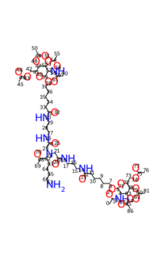 CC(=O)NC1C(OCCCCCC(=O)NCCCNC(=O)CN(CC(=O)NCCCNC(=O)CCCCCOC2OC(COC(C)=O)C(OC(C)=O)C(OC(C)=O)C2NC(C)=O)C(CCCCN)C(C)=O)OC(COC(C)=O)C(OC(C)=O)C1OC(C)=O